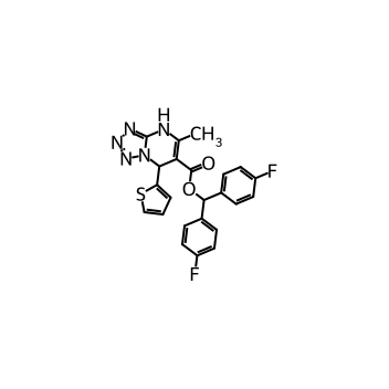 CC1=C(C(=O)OC(c2ccc(F)cc2)c2ccc(F)cc2)C(c2cccs2)n2nnnc2N1